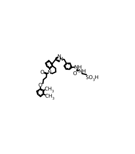 Cc1cccc(OCCCC(=O)N2CCCc3c(-c4cnn(Cc5cccc(NC(=O)NCCS(=O)(=O)O)c5)c4)cccc32)c1C